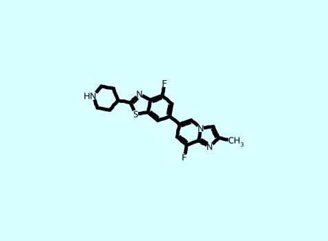 Cc1cn2cc(-c3cc(F)c4nc(C5CCNCC5)sc4c3)cc(F)c2n1